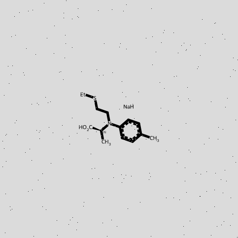 CCSCCN(c1ccc(C)cc1)[C@@H](C)C(=O)O.[NaH]